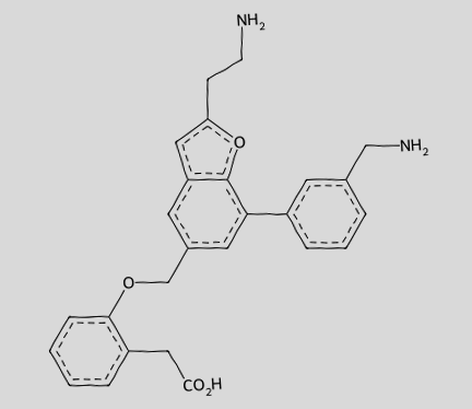 NCCc1cc2cc(COc3ccccc3CC(=O)O)cc(-c3cccc(CN)c3)c2o1